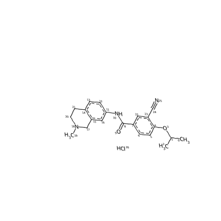 CC(C)Oc1ccc(C(=O)Nc2ccc3c(c2)CN(C)CC3)cc1C#N.Cl